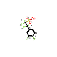 O=S(=O)(O)C(F)(F)C(F)(F)c1ccc(F)c(F)c1